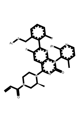 C=CC(=O)N1CCN(c2nc(=O)n(-c3c(C)ccnc3C(C)C)c3nc(-c4c(F)cccc4CSC(C)=O)c(F)cc23)[C@@H](C)C1